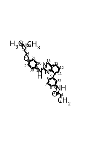 C=CC(=O)Nc1cccc(-c2cccc3cnc(Nc4ccc(OCCN(C)C)cc4)nc23)c1